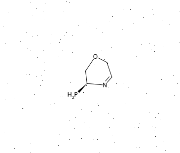 P[C@H]1COCC=N1